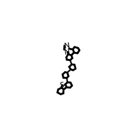 c1cc(-c2cccc(-c3cccc4c3sc3ccccc34)c2)cc(-c2ccc3c(c2)c2ccccc2c2nccn32)c1